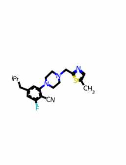 Cc1cnc(CN2CCN(c3cc(CC(C)C)cc(F)c3C#N)CC2)s1